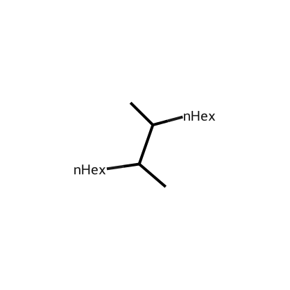 CCCCCCC(C)C(C)CCCCCC